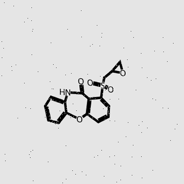 O=C1Nc2ccccc2Oc2cccc(S(=O)(=O)CC3CO3)c21